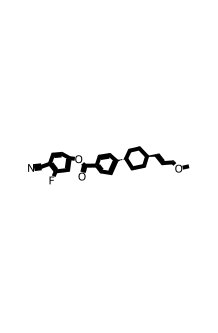 COC/C=C/[C@H]1CC[C@H](c2ccc(C(=O)Oc3ccc(C#N)c(F)c3)cc2)CC1